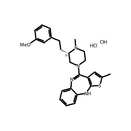 COc1cccc(CC[C@H]2CN(C3=Nc4ccccc4Nc4sc(C)cc43)CCN2C)c1.Cl.Cl